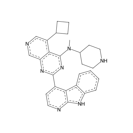 CN(c1nc(-c2ccnc3[nH]c4ccccc4c23)nc2cncc(C3CCC3)c12)C1CCNCC1